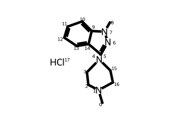 CN1CCN(c2nn(C)c3ccccc23)CC1.Cl